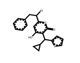 CCC(Cc1ccccc1)c1cc(O)c(C(c2cccs2)C2CC2)c(=O)o1